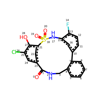 O=C1NCc2ccccc2-c2ccc(F)c(c2)NS(=O)(=O)c2cc1cc(Cl)c2O